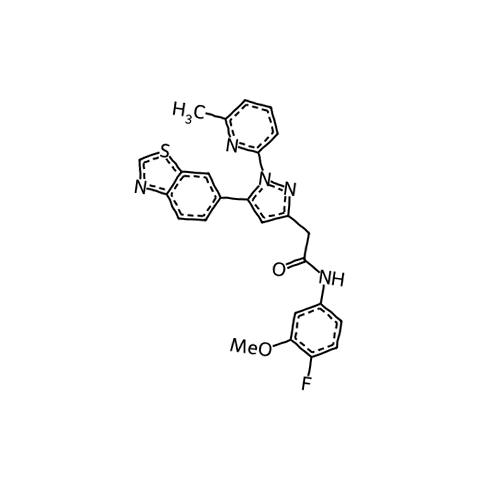 COc1cc(NC(=O)Cc2cc(-c3ccc4ncsc4c3)n(-c3cccc(C)n3)n2)ccc1F